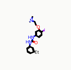 CCc1cccc(NC(=O)Nc2ccc(I)c(OCCN(C)C)c2)c1